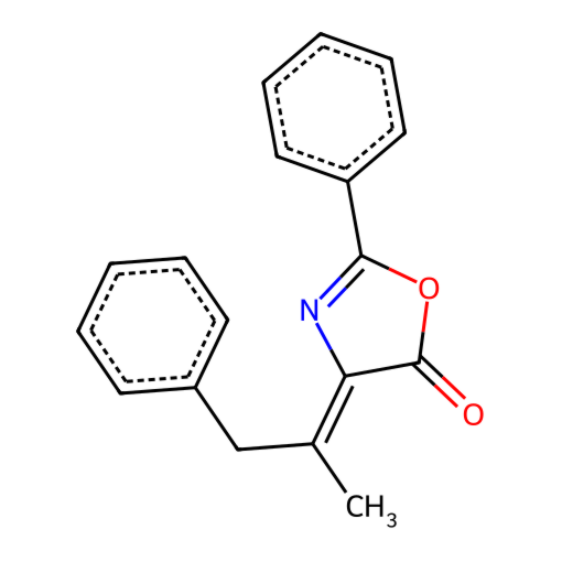 CC(Cc1ccccc1)=C1N=C(c2ccccc2)OC1=O